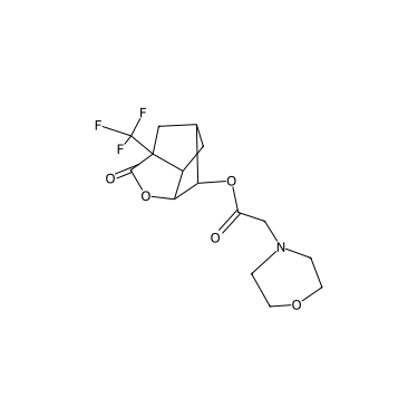 O=C(CN1CCOCC1)OC1C2CC3C1OC(=O)C3(C(F)(F)F)C2